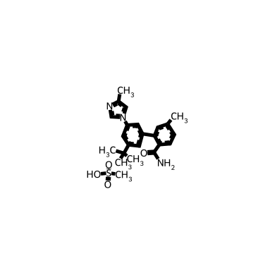 CS(=O)(=O)O.Cc1ccc(C(N)=O)c(-c2cc(-n3cnc(C)c3)cc(C(C)(C)C)c2)c1